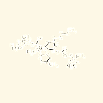 C=C(C)[C@@H]1CCC(C)=C[C@H]1c1c(OC(=O)OC[N+](C)(CC)CC)cc(CCCCC)cc1OC(=O)OC[N+](C)(CC)CC